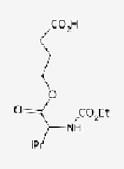 CCOC(=O)NC(C(=O)OCCCC(=O)O)C(C)C